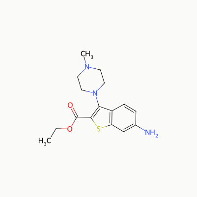 CCOC(=O)c1sc2cc(N)ccc2c1N1CCN(C)CC1